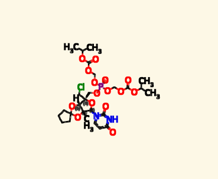 CC(C)OC(=O)OCOP(=O)(OCOC(=O)OC(C)C)OC[C@@]1(CCl)O[C@@H](n2ccc(=O)[nH]c2=O)[C@]2(C)OC3(CCCC3)O[C@H]12